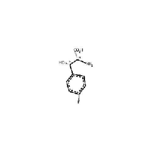 N[C@@H](C(=O)O)[C@@H](O)c1ccc(F)cc1